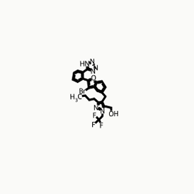 CCCCc1nn(CC(F)(F)F)c(CO)c1Cc1ccc2oc(-c3ccccc3-c3nnn[nH]3)c(Br)c2c1